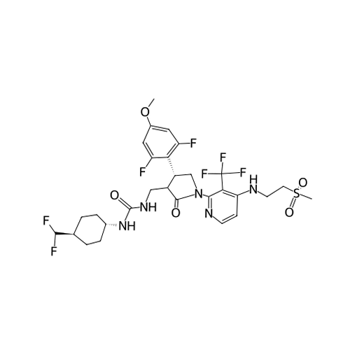 COc1cc(F)c([C@@H]2CN(c3nccc(NCCS(C)(=O)=O)c3C(F)(F)F)C(=O)C2CNC(=O)N[C@H]2CC[C@H](C(F)F)CC2)c(F)c1